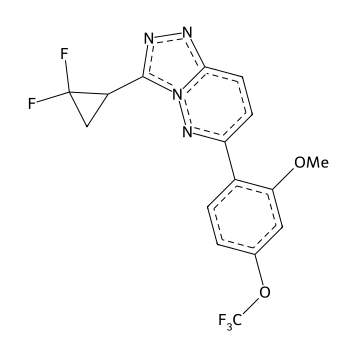 COc1cc(OC(F)(F)F)ccc1-c1ccc2nnc(C3CC3(F)F)n2n1